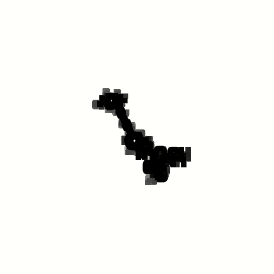 CN1CCC(F)(C#CC#Cc2ccc3nc(CCC(C)(C(=O)NO)S(C)(=O)=O)sc3c2)C1